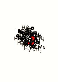 CO[C@H]1OC(COS(=O)(=O)O)[C@@H](O[C@@H]2OC(C)[C@@H](O[C@H]3OC(CO)[C@H](O[C@@H]4OC(C)[C@@H](O[C@H]5OC(COS(=O)(=O)O)[C@@H](O[C@@H]6OC(C)[C@@H](O[C@@H]7OC(CO)[C@H](O[C@@H]8OC(C)[C@@H](C)[C@@H](OCc9ccccc9)C8OOO)[C@H](C)C7N=[N+]=[N-])[C@@H](OCc7ccccc7)C6OOO)[C@H](C)C5N=[N+]=[N-])[C@@H](OCc5ccccc5)C4OOO)[C@H](C)C3N=[N+]=[N-])[C@@H](OCc3ccccc3)C2OOO)[C@H](C)C1C